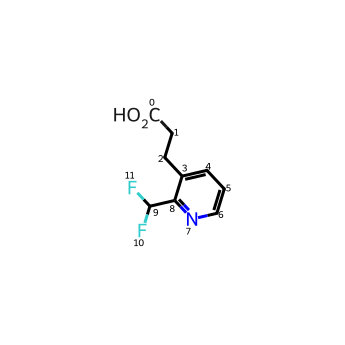 O=C(O)CCc1cccnc1C(F)F